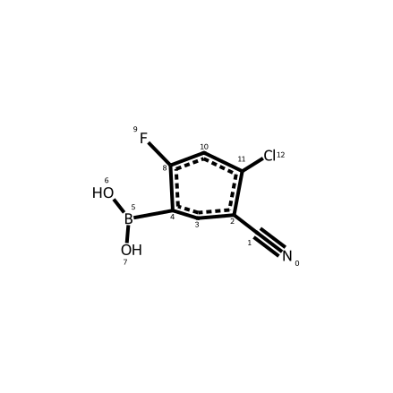 N#Cc1cc(B(O)O)c(F)cc1Cl